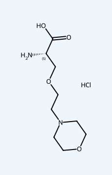 Cl.N[C@@H](COCCN1CCOCC1)C(=O)O